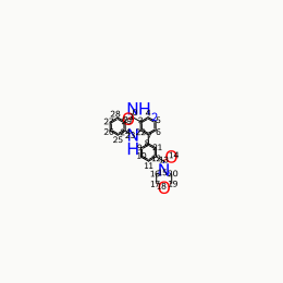 NC(=O)c1cccc(-c2cccc(C(=O)N3CCOCC3)c2)c1Nc1ccccc1